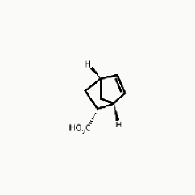 O=C(O)[C@@H]1C[C@@H]2C=C[C@H]1C2